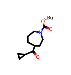 CC(C)(C)OC(=O)N1CCCC(C(=O)C2CC2)CC1